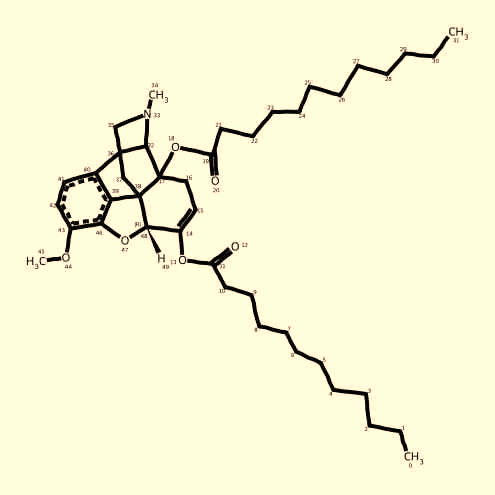 CCCCCCCCCCCC(=O)OC1=CCC2(OC(=O)CCCCCCCCCCC)C3N(C)CC34CC23c2c4ccc(OC)c2O[C@@H]13